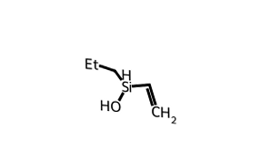 C=C[SiH](O)CCC